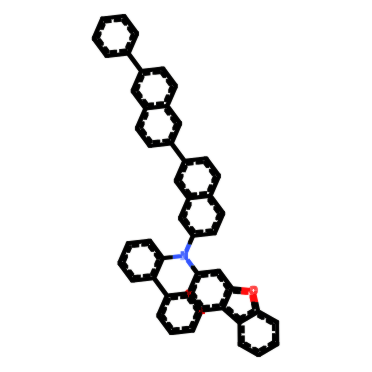 c1ccc(-c2ccc3cc(-c4ccc5ccc(N(c6ccc7c(c6)oc6ccccc67)c6ccccc6-c6ccccc6)cc5c4)ccc3c2)cc1